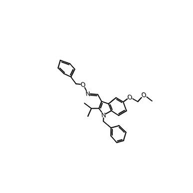 COCOc1ccc2c(c1)c(C=NOCc1ccccc1)c(C(C)C)n2Cc1ccccc1